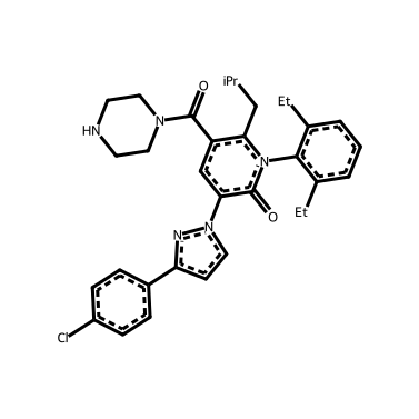 CCc1cccc(CC)c1-n1c(CC(C)C)c(C(=O)N2CCNCC2)cc(-n2ccc(-c3ccc(Cl)cc3)n2)c1=O